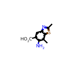 Cc1nc2cc(C(=O)O)c(N)c(C)c2s1